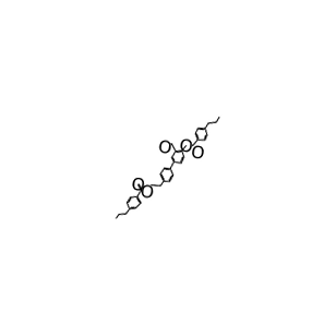 CCCc1ccc(C(=O)OCCc2ccc(-c3ccc(OC(=O)c4ccc(CCC)cc4)c(C=O)c3)cc2)cc1